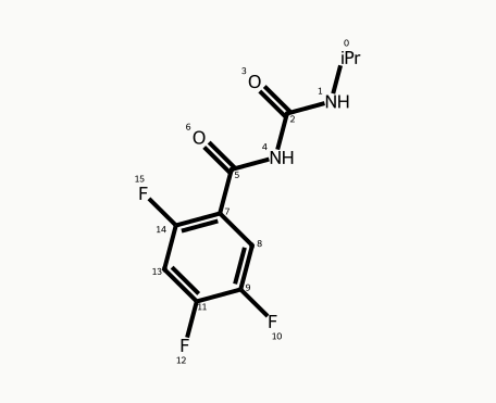 CC(C)NC(=O)NC(=O)c1cc(F)c(F)cc1F